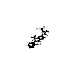 CCn1c(C(N)=O)nn(-c2cc3c(cc2F)c(=O)c(-c2c(F)cccc2Cl)nn3C(C)C)c1=O